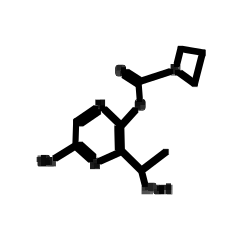 CCCCCC(C)c1nc(C(C)(C)C)cnc1OC(=O)N1CCC1